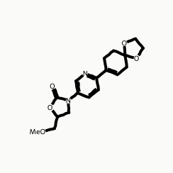 COCC1CN(c2ccc(C3=CCC4(CC3)OCCO4)nc2)C(=O)O1